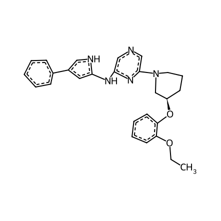 CCOc1ccccc1O[C@@H]1CCCN(c2cncc(Nc3cc(-c4ccccc4)c[nH]3)n2)C1